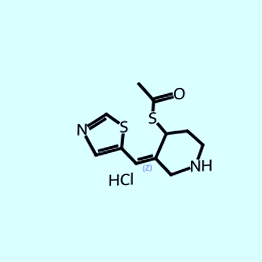 CC(=O)SC1CCNC/C1=C/c1cncs1.Cl